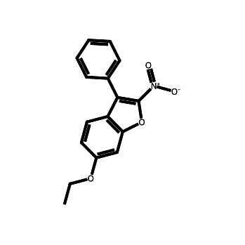 CCOc1ccc2c(-c3ccccc3)c([N+](=O)[O-])oc2c1